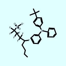 CC(C)(C)c1ccc([S+](c2ccccc2)c2ccccc2)cc1.CCCCC(F)C(F)(F)C(F)(F)C(F)(F)S(=O)(=O)[O-]